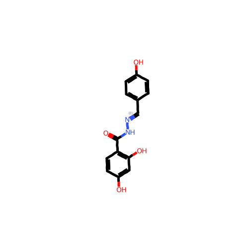 O=C(N/N=C/c1ccc(O)cc1)c1ccc(O)cc1O